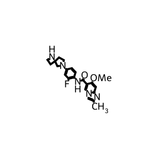 COc1cc2nc(C)cn2cc1C(=O)Nc1ccc(N2CCC3(CCN3)C2)cc1F